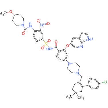 COC1CCN(C(=O)Nc2ccc(S(=O)(=O)NC(=O)c3ccc(N4CCN(CC5=C(c6ccc(Cl)cc6)CC(C)(C)CC5)CC4)cc3Oc3cnc4[nH]ccc4c3)cc2[N+](=O)[O-])CC1